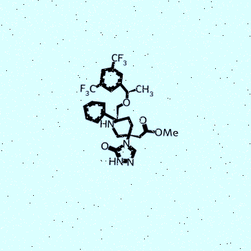 COC(=O)C[C@]1(n2cn[nH]c2=O)CC[C@@](CO[C@H](C)c2cc(C(F)(F)F)cc(C(F)(F)F)c2)(c2ccccc2)NC1